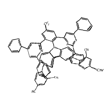 N#Cc1ccc(-c2ccc3c(c2)c2cc(-c4ccc(C#N)cc4C#N)ccc2n3-c2c(-c3cc(-c4ccccc4)nc(-c4ccccc4)n3)cc(C(F)(F)F)cc2-c2cc(-c3ccccc3)nc(-c3ccccc3)n2)c(C#N)c1